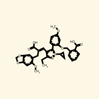 CCc1nn(C2CC2)c(-c2ccc(OC)cc2OCc2ccccc2C(=O)O)c1C=C(Cc1cc2c(cc1OC)OCO2)C(=O)O